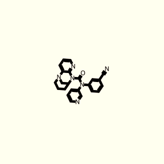 N#Cc1cccc(N(C(=O)N2c3ncccc3N3CCCC2C3)c2cccnc2)c1